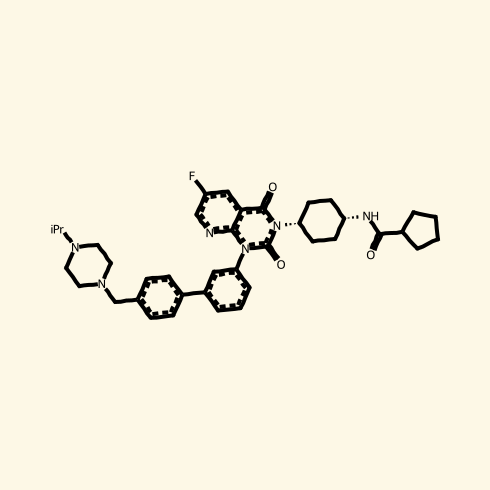 CC(C)N1CCN(Cc2ccc(-c3cccc(-n4c(=O)n([C@H]5CC[C@@H](NC(=O)C6CCCC6)CC5)c(=O)c5cc(F)cnc54)c3)cc2)CC1